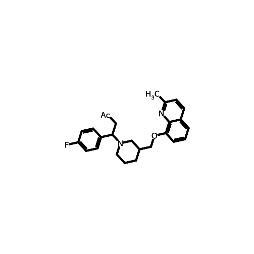 CC(=O)CC(c1ccc(F)cc1)N1CCCC(COc2cccc3ccc(C)nc23)C1